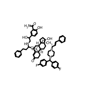 CC(CCc1ccccc1)NCC(O)c1ccc(O)c(C(N)=O)c1.C[C@]12CC[C@H]3[C@@H](CCC4=CC(=O)CC[C@@]43C)[C@@H]1CC[C@@H]2O.Fc1ccc(C(c2ccc(F)cc2)N2CCN(C/C=C/c3ccccc3)CC2)cc1